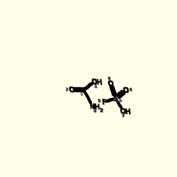 NC(=O)O.O=S(=O)(O)F